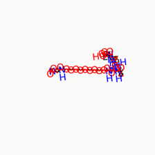 CCC1(O)C(=O)OCc2c1cc1n(c2=O)Cc2c-1nc1ccc(NC(=O)CNC(=O)[C@H](Cc3ccccc3)NC(=O)CNC(=O)CNC(=O)COCCOCCOCCOCCOCCOCCOCCOCCOCCNC(=O)C3CCC(CN4C(=O)C=CC4=O)CC3)c3c1c2C=CS3